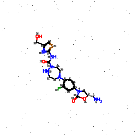 NC[C@H]1CN(c2ccc(N3CCNN(C(=O)Nc4nc(CO)cs4)CC3)c(F)c2)C(=O)O1